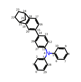 c1ccc(N(c2ccccc2)c2ccc(-c3ccc4c(c3)C3CCC4C3)cc2)cc1